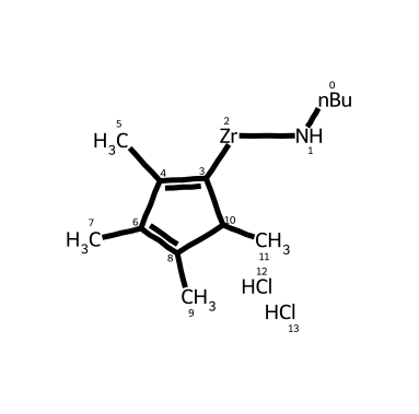 CCCC[NH][Zr][C]1=C(C)C(C)=C(C)C1C.Cl.Cl